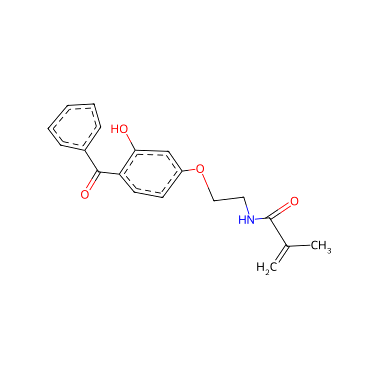 C=C(C)C(=O)NCCOc1ccc(C(=O)c2ccccc2)c(O)c1